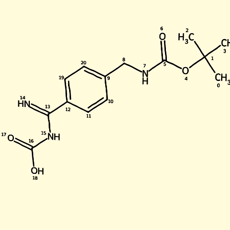 CC(C)(C)OC(=O)NCc1ccc(C(=N)NC(=O)O)cc1